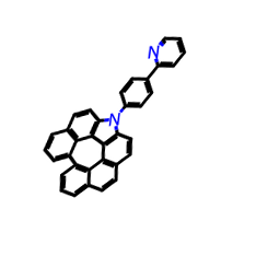 c1ccc(-c2ccc(-n3c4ccc5cccc6c5c4c4c5c(ccc7cccc-6c75)ccc43)cc2)nc1